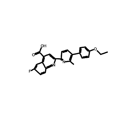 CCOc1ccc(-c2ccc(-c3cc(C(=O)O)c4cc(F)ccc4n3)nc2C)cc1